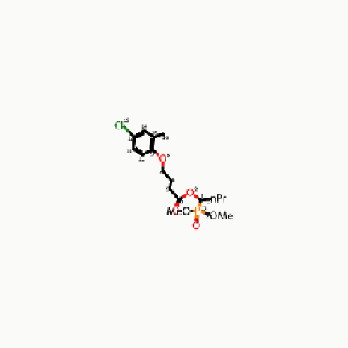 CCCC(OC(=O)CCCOc1ccc(Cl)cc1C)P(=O)(OC)OC